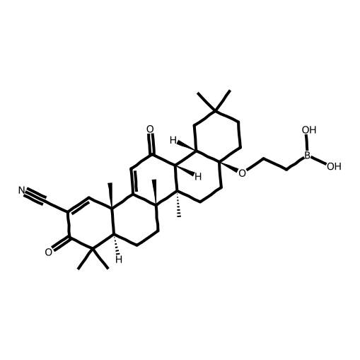 CC1(C)CC[C@]2(OCCB(O)O)CC[C@]3(C)[C@H](C(=O)C=C4[C@@]5(C)C=C(C#N)C(=O)C(C)(C)[C@@H]5CC[C@]43C)[C@@H]2C1